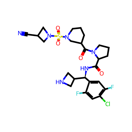 N#CC1CN(S(=O)(=O)N2CCCC(C(=O)N3CCCC3C(=O)N[C@@H](c3cc(F)c(Cl)cc3F)C3CNC3)C2)C1